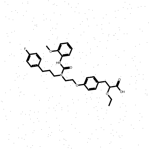 CCOC(Cc1ccc(OCCN(CCCc2ccc(F)cc2)C(=O)Nc2ccccc2OC)cc1)C(=O)O